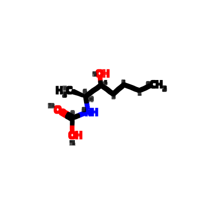 CCCCC(O)[C@H](C)NC(=O)O